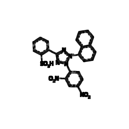 O=[N+]([O-])c1ccc(-n2nc(-c3ccccc3S(=O)(=O)O)n[n+]2-c2cccc3ccccc23)c([N+](=O)[O-])c1